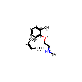 CC(C)NCCOc1ccccc1C#N.O=C(O)/C=C\C(=O)O